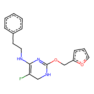 FC1=C(NCCc2ccccc2)N=C(OCc2ccco2)NC1